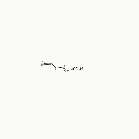 N=CCC=CC(=O)O